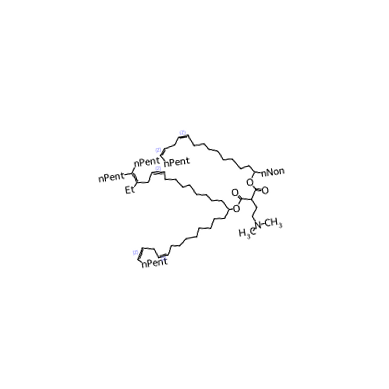 CCCCC/C=C\C/C=C\CCCCCCCCC(CCCCCCCCC)OC(=O)C(CCN(C)C)C(=O)OC(CCCCCCCC/C=C\C/C=C\CCCCC)CCCCCCCC/C=C\CC(CC)=C(CCCCC)CCCCC